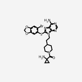 Nc1ncnc2c1nc(Sc1cc3c(cc1Br)OCO3)n2CCC1CCN(C(=O)C2(N)CC2)CC1